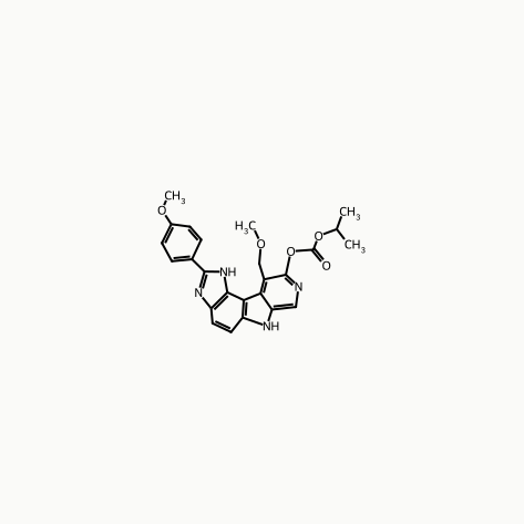 COCc1c(OC(=O)OC(C)C)ncc2[nH]c3ccc4nc(-c5ccc(OC)cc5)[nH]c4c3c12